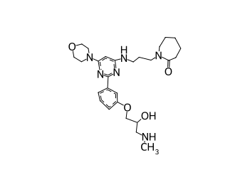 CNCC(O)COc1cccc(-c2nc(NCCCN3CCCCCC3=O)cc(N3CCOCC3)n2)c1